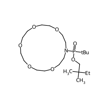 CCC(C)(C)COP(=O)(N1CCOCCOCCOCCOCCOCC1)C(C)(C)C